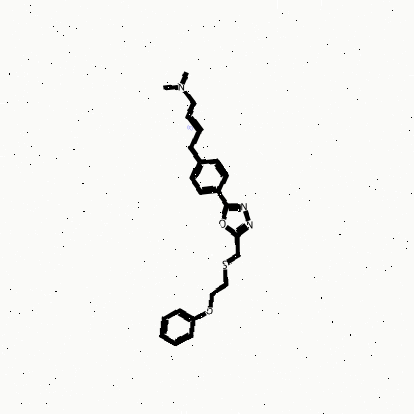 CN(C)C/C=C/Cc1ccc(-c2nnc(CSCCOc3ccccc3)o2)cc1